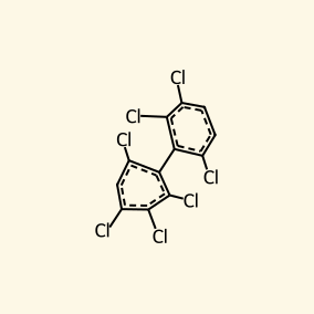 Clc1cc(Cl)c(-c2c(Cl)ccc(Cl)c2Cl)c(Cl)c1Cl